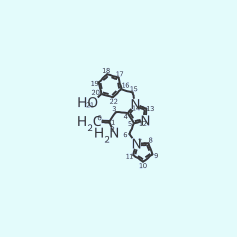 C=C(N)Cc1c(Cn2cccc2)ncn1Cc1cccc(O)c1